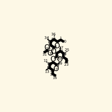 CCC1O[C@H](OC2[C@@H](OC3[C@@H](C)[C@H](C)C(CC)O[C@@H]3C)OC(CC)[C@@H](C)[C@@H]2C)C(OC(C)=O)[C@@H](C)[C@@H]1C